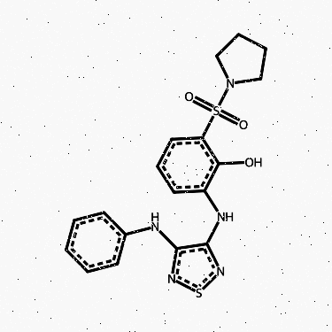 O=S(=O)(c1cccc(Nc2nsnc2Nc2ccccc2)c1O)N1CCCC1